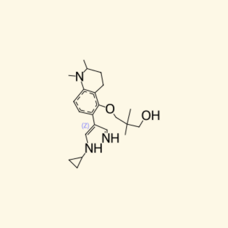 CC1CCc2c(ccc(/C(C=N)=C/NC3CC3)c2OCC(C)(C)CO)N1C